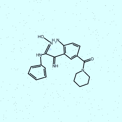 N=C(/C(=N/O)Nc1ccccc1)c1cc(C(=O)N2CCCCC2)ccc1N